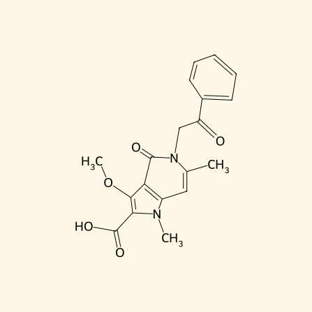 COc1c(C(=O)O)n(C)c2cc(C)n(CC(=O)c3ccccc3)c(=O)c12